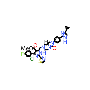 COC(=O)C1=C(CN2CCN3C(=O)N(c4ccc(-c5nc(C6CC6)c[nH]5)cc4)C[C@@H]3C2)NC(c2nccs2)=N[C@H]1c1ccc(F)cc1Cl